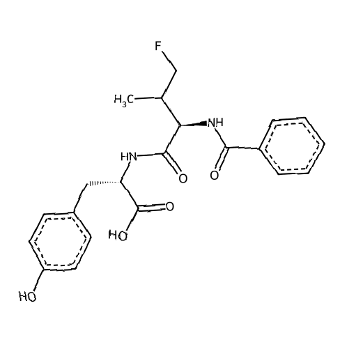 CC(CF)[C@@H](NC(=O)c1ccccc1)C(=O)N[C@@H](Cc1ccc(O)cc1)C(=O)O